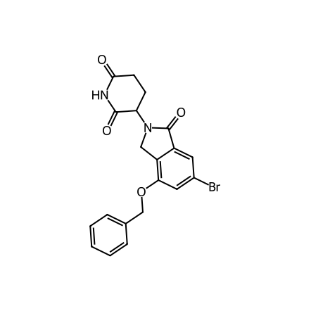 O=C1CCC(N2Cc3c(OCc4ccccc4)cc(Br)cc3C2=O)C(=O)N1